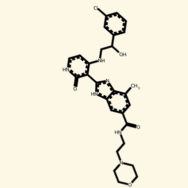 Cc1cc(C(=O)NCCN2CCOCC2)cc2[nH]c(-c3c(NCC(O)c4cccc(Cl)c4)cc[nH]c3=O)nc12